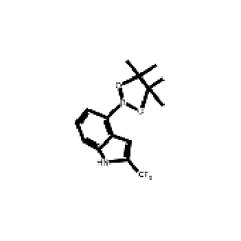 CC1(C)OB(c2cccc3[nH]c(C(F)(F)F)cc23)OC1(C)C